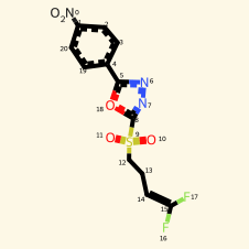 O=[N+]([O-])c1ccc(-c2nnc(S(=O)(=O)CCC=C(F)F)o2)cc1